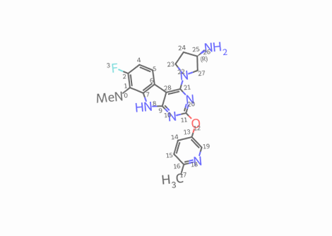 CNc1c(F)ccc2c1[nH]c1nc(Oc3ccc(C)nc3)nc(N3CC[C@@H](N)C3)c12